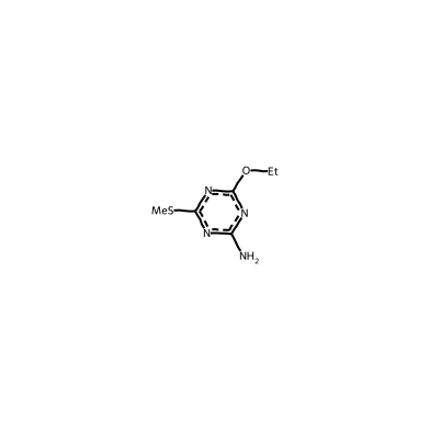 CCOc1nc(N)nc(SC)n1